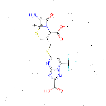 N[C@@H]1C(=O)N2C(C(=O)O)=C(CSc3cc(C(F)(F)F)n4nc(C(=O)O)nc4n3)CS[C@H]12